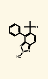 CCC(C)(C)c1ccc2nn(O)nc2c1-c1ccccc1